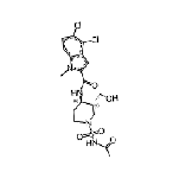 CC(=O)NS(=O)(=O)N1CC[C@@H](NC(=O)c2cc3c(Cl)c(Cl)ccc3n2C)[C@H](CO)C1